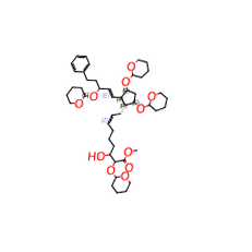 COC(=O)C(OC1CCCCO1)C(O)CCC/C=C\C[C@@H]1[C@@H](/C=C/C(CCc2ccccc2)O[C@H]2CCCCO2)[C@H](OC2CCCCO2)C[C@@H]1OC1CCCCO1